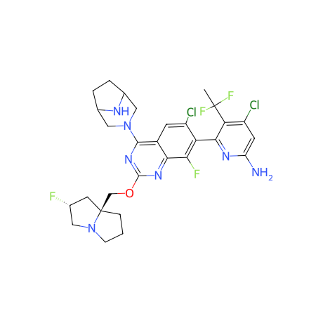 CC(F)(F)c1c(Cl)cc(N)nc1-c1c(Cl)cc2c(N3CC4CCC(C3)N4)nc(OC[C@@]34CCCN3C[C@H](F)C4)nc2c1F